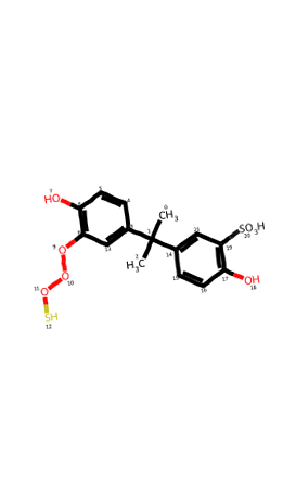 CC(C)(c1ccc(O)c(OOOS)c1)c1ccc(O)c(S(=O)(=O)O)c1